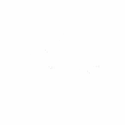 CC(C(=O)Nc1ccccc1/C=C/C(=O)NO)N1CC[S+]([O-])CC1